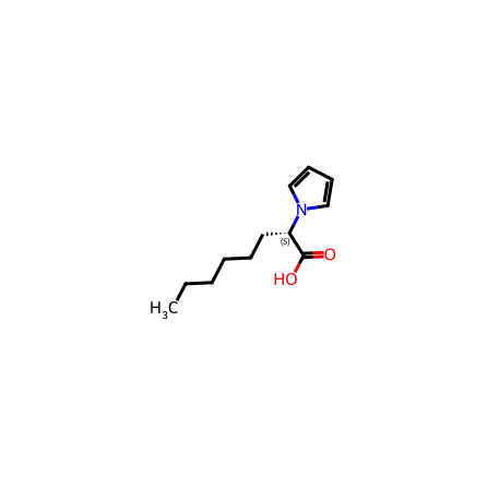 CCCCCC[C@@H](C(=O)O)n1cccc1